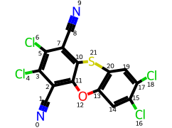 N#Cc1c(Cl)c(Cl)c(C#N)c2c1Oc1cc(Cl)c(Cl)cc1S2